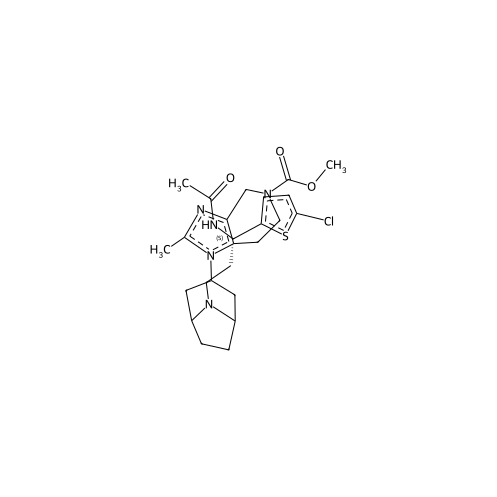 COC(=O)N1CCc2c(nc(C)n2C2CC3CCC(C2)N3CC[C@H](NC(C)=O)c2ccc(Cl)s2)C1